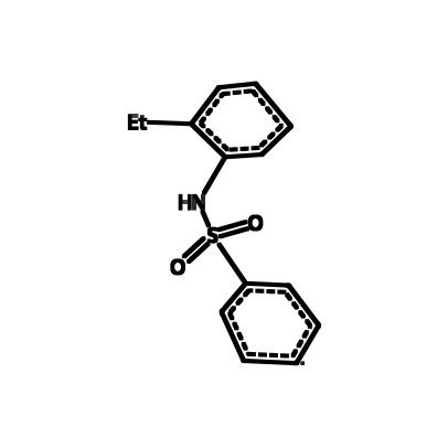 CCc1ccccc1NS(=O)(=O)c1cc[c]cc1